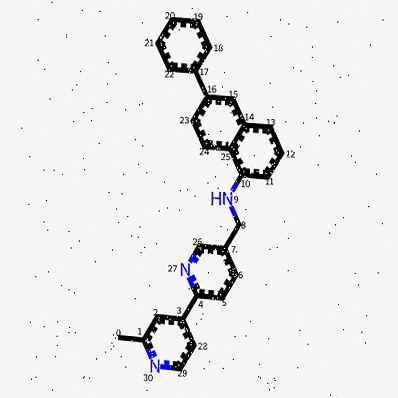 Cc1cc(-c2ccc(CNc3cccc4cc(-c5ccccc5)ccc34)cn2)ccn1